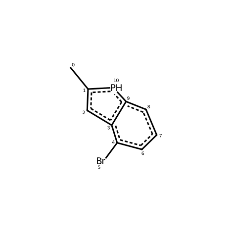 Cc1cc2c(Br)cccc2[pH]1